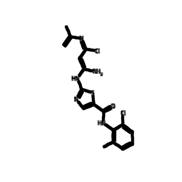 C=C(C)/N=C(Cl)\C=C(/N)Nc1ncc(C(=O)Nc2c(C)cccc2Cl)s1